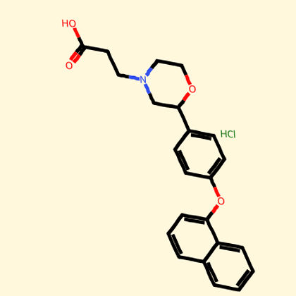 Cl.O=C(O)CCN1CCOC(c2ccc(Oc3cccc4ccccc34)cc2)C1